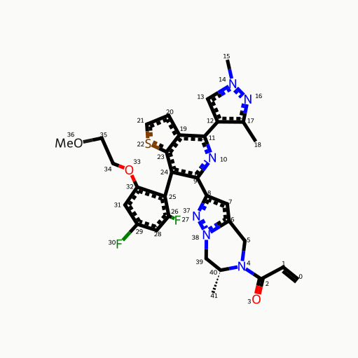 C=CC(=O)N1Cc2cc(-c3nc(-c4cn(C)nc4C)c4ccsc4c3-c3c(F)cc(F)cc3OCCOC)nn2C[C@H]1C